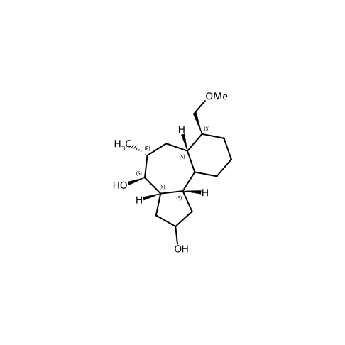 COC[C@H]1CCCC2[C@@H]1C[C@@H](C)[C@H](O)[C@H]1CC(O)C[C@@H]21